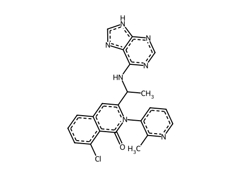 Cc1ncccc1-n1c(C(C)Nc2ncnc3[nH]cnc23)cc2cccc(Cl)c2c1=O